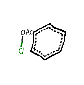 CC(=O)OCl.c1ccccc1